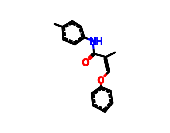 CC(=COc1ccccc1)C(=O)Nc1ccc(C)cc1